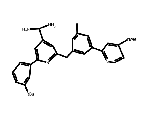 CNc1ccnc(-c2cc(C)cc(Cc3cc(C(N)N)cc(-c4cccc(C(C)(C)C)c4)n3)c2)c1